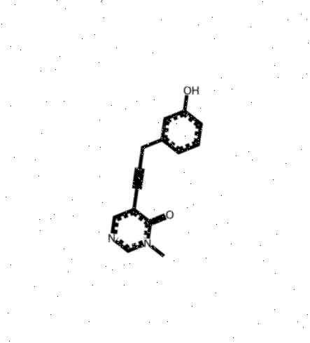 Cn1cncc(C#CCc2cccc(O)c2)c1=O